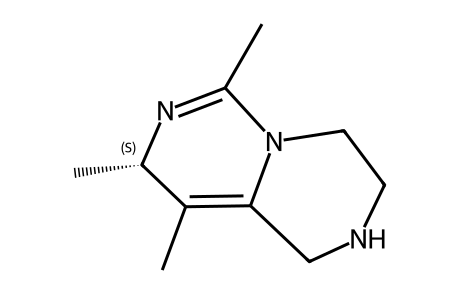 CC1=N[C@@H](C)C(C)=C2CNCCN12